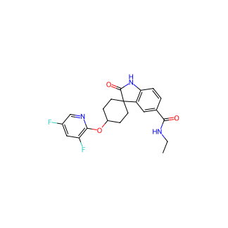 CCNC(=O)c1ccc2c(c1)C1(CCC(Oc3ncc(F)cc3F)CC1)C(=O)N2